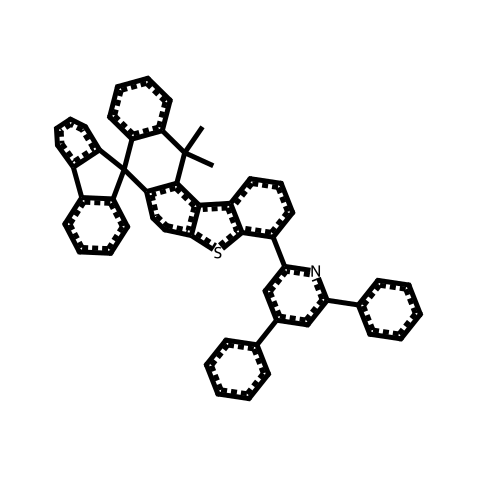 CC1(C)c2ccccc2C2(c3ccccc3-c3ccccc32)c2ccc3sc4c(-c5cc(-c6ccccc6)cc(-c6ccccc6)n5)cccc4c3c21